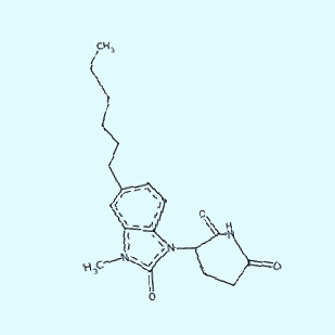 CCCCCCc1ccc2c(c1)n(C)c(=O)n2C1CCC(=O)NC1=O